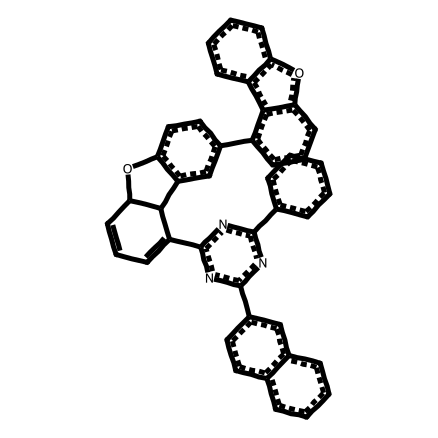 C1=CC2Oc3ccc(-c4cccc5oc6ccccc6c45)cc3C2C(c2nc(-c3ccccc3)nc(-c3ccc4ccccc4c3)n2)=C1